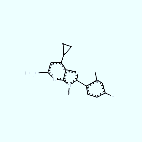 Cn1c(-c2ccc(Br)cc2F)nc2c(C3CC3)cc(C(=O)O)nc21